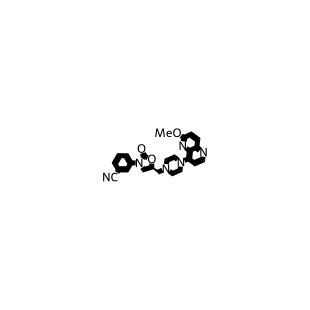 COc1ccc2nccc(N3CCN(C[C@H]4CN(c5cccc(C#N)c5)C(=O)O4)CC3)c2n1